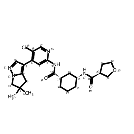 CC1(C)Cc2c(-c3cc(NC(=O)[C@H]4CCC[C@@H](NC(=O)[C@H]5CCOC5)C4)ncc3Cl)cnn2C1